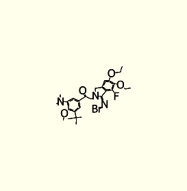 CCOc1cc2c(c(F)c1OCC)/C(=N/Br)N(CC(=O)c1cc(N(C)C)c(OC)c(C(C)(C)C)c1)C2